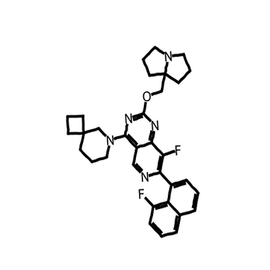 Fc1c(-c2cccc3cccc(F)c23)ncc2c(N3CCCC4(CCC4)C3)nc(OCC34CCCN3CCC4)nc12